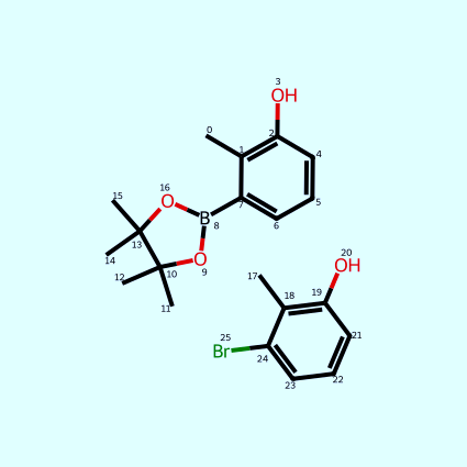 Cc1c(O)cccc1B1OC(C)(C)C(C)(C)O1.Cc1c(O)cccc1Br